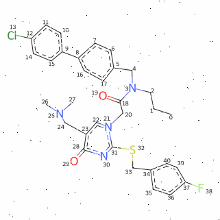 CCCN(Cc1ccc(-c2ccc(Cl)cc2)cc1)C(=O)Cn1cc(CN(C)C)c(=O)nc1SCc1ccc(F)cc1